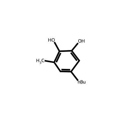 CCCCc1cc(C)c(O)c(O)c1